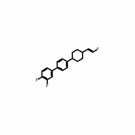 F/C=C/C1CCC(c2ccc(-c3ccc(F)c(F)c3)cc2)CC1